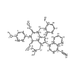 COc1ccc(N2C(=C=O)c3c(sc(-c4ccc(C#N)c5ncccc45)c3CN(C)C)N(Cc3c(F)cccc3F)C2=C=O)cn1